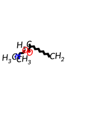 C=CCCCCCCCC(C)C(=O)OCCN(C)C